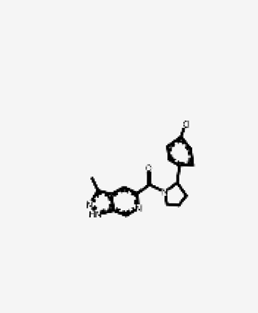 Cc1n[nH]c2cnc(C(=O)N3CCCC3c3ccc(Cl)cc3)cc12